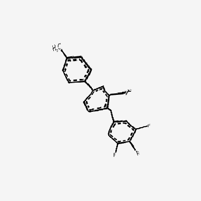 Cc1ccc(-c2ccc(-c3cc(F)c(F)c(F)c3)c(F)c2)cc1